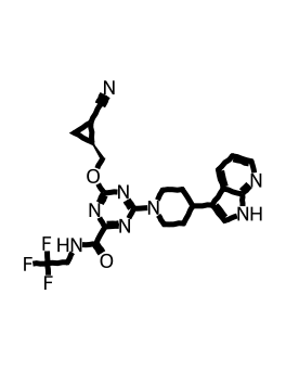 N#CC1C[C@@H]1COc1nc(C(=O)NCC(F)(F)F)nc(N2CCC(c3c[nH]c4ncccc34)CC2)n1